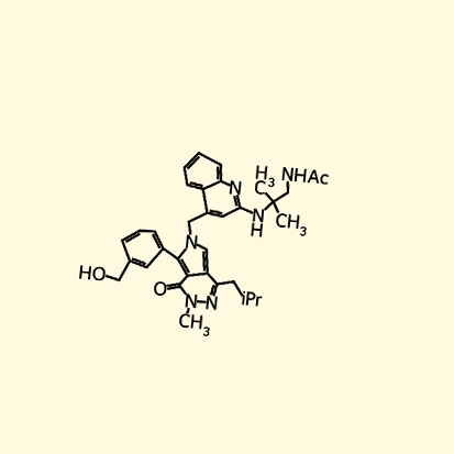 CC(=O)NCC(C)(C)Nc1cc(Cn2cc3c(CC(C)C)nn(C)c(=O)c3c2-c2cccc(CO)c2)c2ccccc2n1